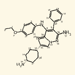 CCOc1ccc(Nc2c(-c3ccccc3)c(N)nn3cc([C@H]4CC[C@@H](N)CC4)nc23)cc1